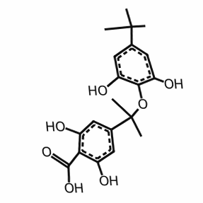 CC(C)(C)c1cc(O)c(OC(C)(C)c2cc(O)c(C(=O)O)c(O)c2)c(O)c1